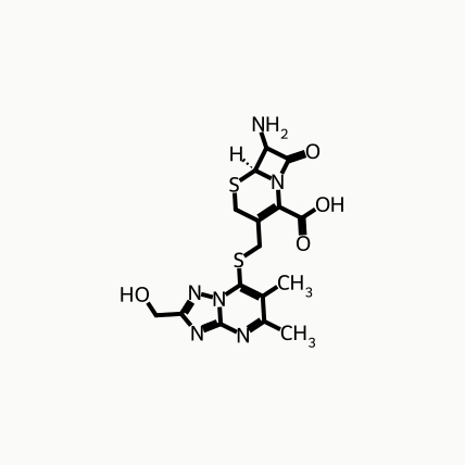 Cc1nc2nc(CO)nn2c(SCC2=C(C(=O)O)N3C(=O)C(N)[C@@H]3SC2)c1C